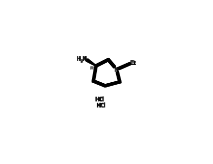 CCN1CCC[C@@H](N)C1.Cl.Cl